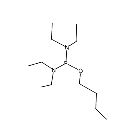 CCCCOP(N(CC)CC)N(CC)CC